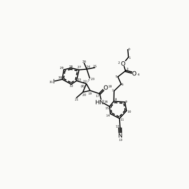 CCOC(=O)CCCc1ccc(C#N)cc1NC(=O)C1C(C)[C@]12CC(C)(C)c1ccc(I)cc12